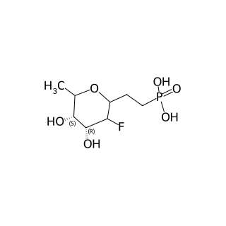 CC1OC(CCP(=O)(O)O)C(F)[C@H](O)[C@@H]1O